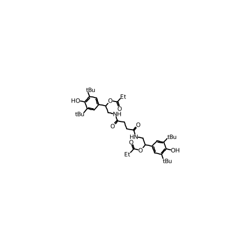 CCC(=O)OC(CNC(=O)CCC(=O)NCC(OC(=O)CC)c1cc(C(C)(C)C)c(O)c(C(C)(C)C)c1)c1cc(C(C)(C)C)c(O)c(C(C)(C)C)c1